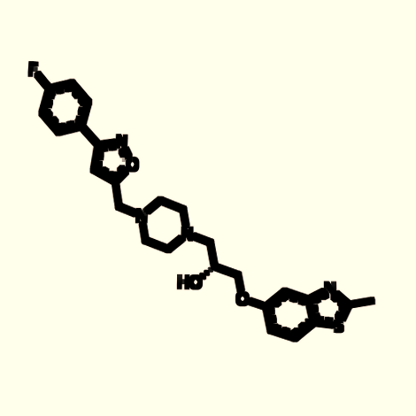 Cc1nc2cc(OC[C@H](O)CN3CCN(Cc4cc(-c5ccc(F)cc5)no4)CC3)ccc2s1